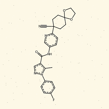 Cc1c(C(=O)Nc2ccc(C3(C#N)CCC4(CC3)OCCO4)nc2)cnn1-c1ccc(F)cc1